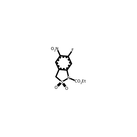 CCOC(=O)N1c2cc(F)c([N+](=O)[O-])cc2CS1(=O)=O